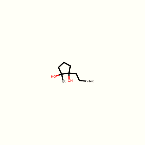 CCCCCCCCC1(O)CCCC1(O)CC